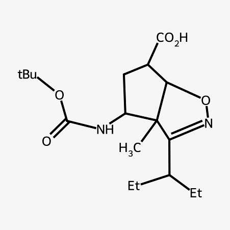 CCC(CC)C1=NOC2C(C(=O)O)CC(NC(=O)OC(C)(C)C)C12C